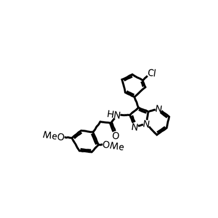 COc1ccc(OC)c(CC(=O)Nc2nn3cccnc3c2-c2cccc(Cl)c2)c1